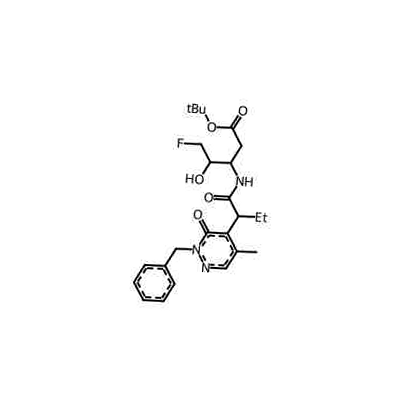 CCC(C(=O)NC(CC(=O)OC(C)(C)C)C(O)CF)c1c(C)cnn(Cc2ccccc2)c1=O